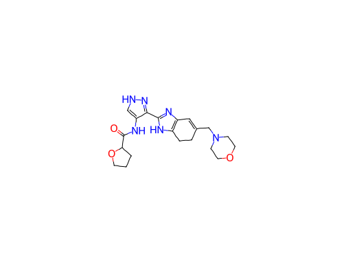 O=C(Nc1c[nH]nc1-c1nc2c([nH]1)CCC(CN1CCOCC1)=C2)C1CCCO1